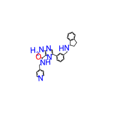 Nc1ncc(-c2cccc(CN[C@H]3CCc4ccccc43)c2)nc1C(=O)NCc1ccncc1